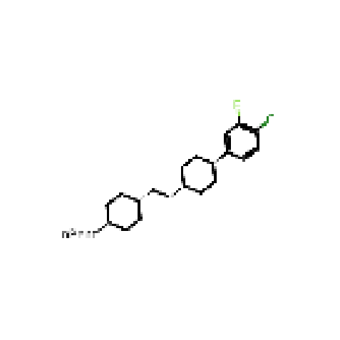 CCCCC[C@H]1CC[C@H](CC[C@H]2CC[C@H](c3ccc(Cl)c(F)c3)CC2)CC1